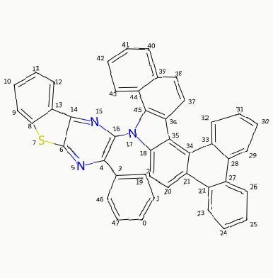 c1ccc(-c2nc3sc4ccccc4c3nc2-n2c3ccc4c5ccccc5c5ccccc5c4c3c3ccc4ccccc4c32)cc1